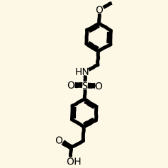 COc1ccc(CNS(=O)(=O)c2ccc(CC(=O)O)cc2)cc1